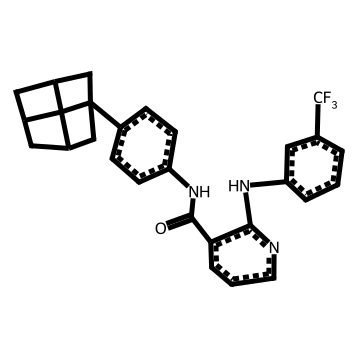 O=C(Nc1ccc(C23CC4CC5CC(C2)C543)cc1)c1cccnc1Nc1cccc(C(F)(F)F)c1